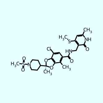 CSc1cc(C)[nH]c(=O)c1CNC(=O)c1cc(Cl)c2c(c1C)O[C@@](C)(C1CCN(S(C)(=O)=O)CC1)O2